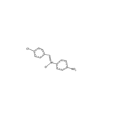 O=[N+]([O-])c1ccc([N+]([O-])=Cc2ccc(Cl)cc2)cc1